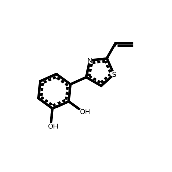 C=Cc1nc(-c2cccc(O)c2O)cs1